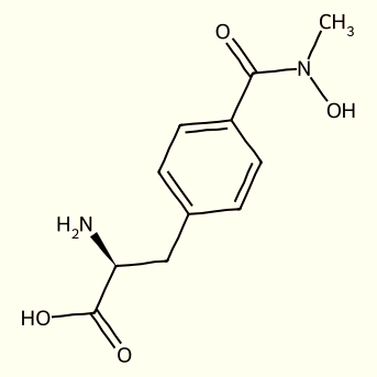 CN(O)C(=O)c1ccc(C[C@H](N)C(=O)O)cc1